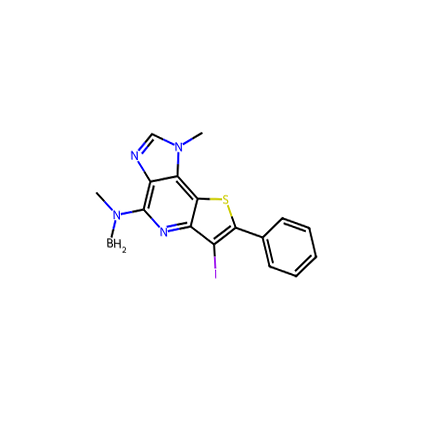 BN(C)c1nc2c(I)c(-c3ccccc3)sc2c2c1ncn2C